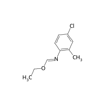 CCO/C=N/c1ccc(Cl)cc1C